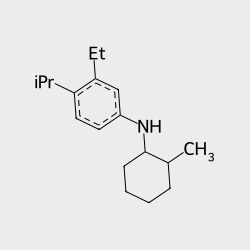 CCc1cc(NC2CCCCC2C)ccc1C(C)C